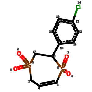 O=S1(=O)CC=CS(=O)(=O)C(c2ccc(Cl)cc2)C1